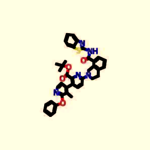 Cc1c(-c2ccc(N3CCc4cccc(C(=O)Nc5nc6ccccc6s5)c4C3)nc2C(=O)OC(C)(C)C)ccnc1Oc1ccccc1